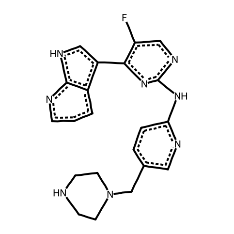 Fc1cnc(Nc2ccc(CN3CCNCC3)cn2)nc1-c1c[nH]c2ncccc12